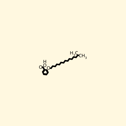 CC(C)CCCCCCCCCCCCCOc1ccccc1C(=O)O